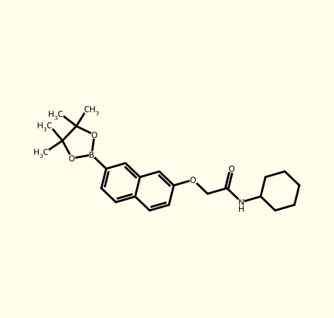 CC1(C)OB(c2ccc3ccc(OCC(=O)NC4CCCCC4)cc3c2)OC1(C)C